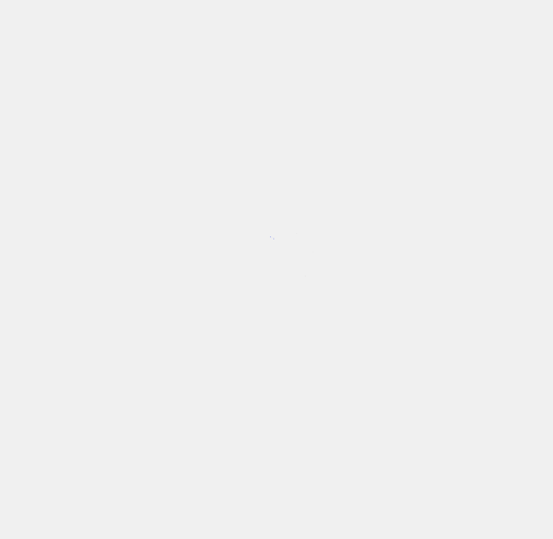 CO/[N+](C)=C(/C(=O)[O-])c1ccccc1COc1ccccc1C